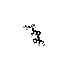 CN(CCNC=O)CCc1cc2c(nc1C=O)N(/C=C/C(C1=CCSCC1)=C(C#N)\C=N/C=O)CCC2